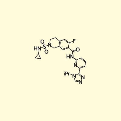 CC(C)n1cnnc1-c1cccc(NC(=O)c2cc3c(cc2F)CCN(S(=O)(=O)NC2CC2)C3)n1